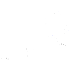 COC1=C(\CCC2CCC(CCN)O2)C/C=C\C=C/C/C=C\1